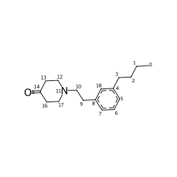 CCCCc1cccc(CCN2CCC(=O)CC2)c1